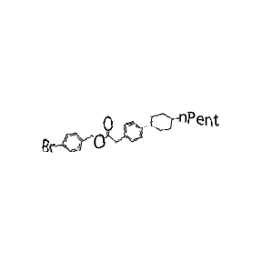 CCCCC[C@H]1CC[C@H](c2ccc(CC(=O)OCc3ccc(Br)cc3)cc2)CC1